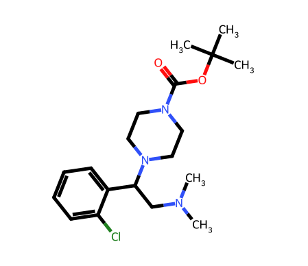 CN(C)CC(c1ccccc1Cl)N1CCN(C(=O)OC(C)(C)C)CC1